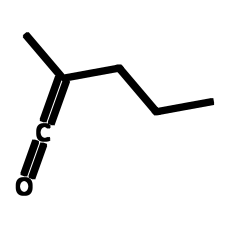 CCCC(C)=C=O